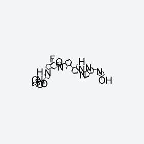 Cc1c(Nc2nccc3cc(CN4CC[C@@H](O)C4)cnc23)cccc1-c1cccc(-c2nc3cc4c(c(F)c3o2)CC[C@H]4N2CC[C@@H](C(=O)NS(=O)(=O)C3(C)CC3)C2)c1C